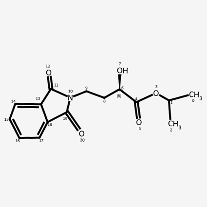 CC(C)OC(=O)[C@H](O)CCN1C(=O)c2ccccc2C1=O